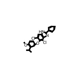 COc1ccc(Oc2c(Cl)cc3[nH]c(-c4ccccc4)nc3c2Cl)cc1C(C)C